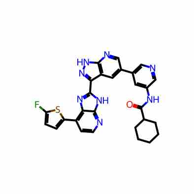 O=C(Nc1cncc(-c2cnc3[nH]nc(-c4nc5c(-c6ccc(F)s6)ccnc5[nH]4)c3c2)c1)C1CCCCC1